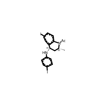 CC(=O)N1c2ccc(I)cc2[C@@H](Nc2ccc(I)cc2)C[C@H]1C